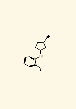 CCc1ccccc1NC1CCC(C#N)C1